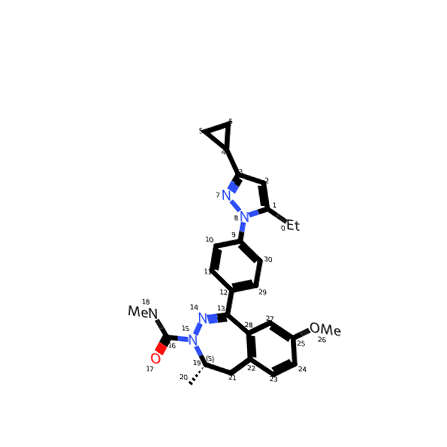 CCc1cc(C2CC2)nn1-c1ccc(C2=NN(C(=O)NC)[C@@H](C)Cc3ccc(OC)cc32)cc1